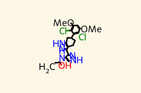 C=CC(O)Nc1c[nH]nc1-c1n[nH]c2c1CCC(c1c(Cl)c(OC)cc(OC)c1Cl)C2